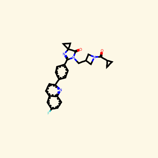 O=C(C1CC1)N1CC(CN2C(=O)C3(CC3)N=C2c2ccc(-c3ccc4cc(F)ccc4n3)cc2)C1